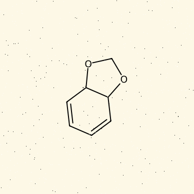 C1=C[C]2OCOC2C=C1